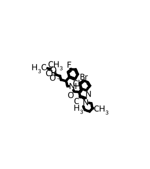 Cc1c(N2CCCC(C)C2)nc2ccc(Br)cc2c1C(=O)NCC(CCC(=O)OC(C)(C)C)c1cc(F)ccc1Cl